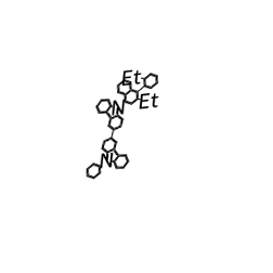 CCc1ccccc1-c1c(CC)cc(-n2c3ccccc3c3cc(-c4ccc5c(c4)c4ccccc4n5-c4ccccc4)ccc32)c2ccccc12